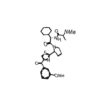 CN[C@@H](C)C(=O)N[C@H](C(=O)N1CCCC1c1nc(C(=O)c2cccc(OC)c2)cs1)C1CCCCC1